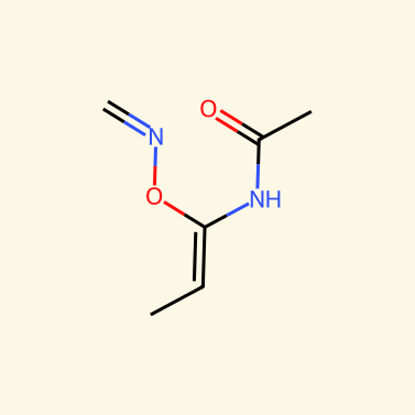 C=NO/C(=C\C)NC(C)=O